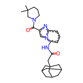 CC1(C)CCCN(C(=O)c2cn3c(NC(=O)CC45CC6CC(CC(C6)C4)C5)cccc3n2)C1